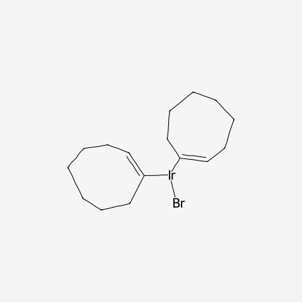 [Br][Ir]([C]1=CCCCCCC1)[C]1=CCCCCCC1